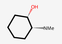 [CH2]N[C@@H]1CCCC[C@@H]1O